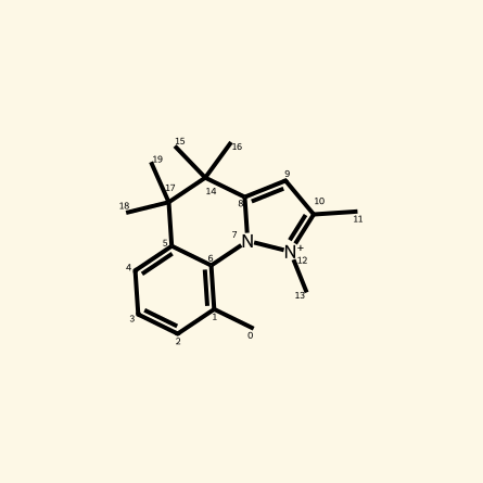 Cc1cccc2c1-n1c(cc(C)[n+]1C)C(C)(C)C2(C)C